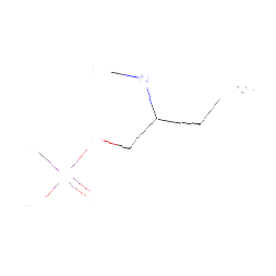 COCC(COP(=O)(O)C(C)C)NC(C)C